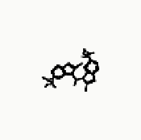 CC1=Cc2ccc([Si](C)(C)C)cc2C1C(C)C1C(C)=Cc2ccc([Si](C)(C)C)cc21